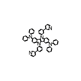 c1ccc(N(c2ccccc2)c2ccc3c(c2)c2c(c4cc(N(c5ccccc5)c5ccccc5)ccc4n2-c2cccc(-c4cccnc4)c2)n3-c2cccc(-c3cccnc3)c2)cc1